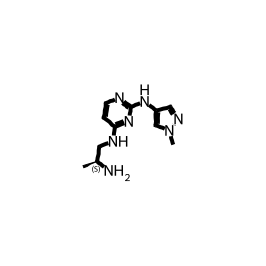 C[C@H](N)CNc1ccnc(Nc2cnn(C)c2)n1